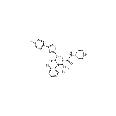 CCc1cccc(CC)c1-n1c(C)c(C(=O)NC2CCNCC2)cc(-c2nc(-c3ccc(Cl)cc3)cs2)c1=O